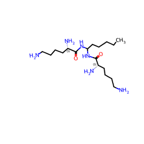 CCCCCC(NC(=O)[C@@H](N)CCCCN)NC(=O)[C@@H](N)CCCCN